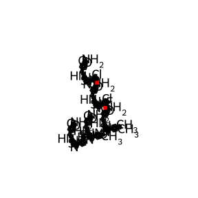 CC(C)c1ccc(-c2cnc3sc(NCCc4ccc(S(N)(=O)=O)cc4)nn23)cc1.COc1ccc(-c2cnc3sc(NCCc4ccc(S(N)(=O)=O)cc4)nn23)cn1.NS(=O)(=O)c1ccc(CCNc2nn3c(-c4ccc(F)c(Cl)c4)cnc3s2)cc1.NS(=O)(=O)c1ccc(CCNc2nn3c(-c4cccc(C(F)(F)F)c4)cnc3s2)cc1.NS(=O)(=O)c1ccc(CCNc2nn3c(-c4cccc(Cl)c4)cnc3s2)cc1